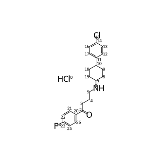 Cl.O=C(CCCNC1CCC(c2ccc(Cl)cc2)CC1)c1ccc(F)cc1